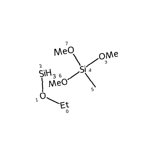 CCO[SiH3].CO[Si](C)(OC)OC